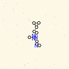 c1ccc(-c2nc(-c3ccc4c(cnc5ccccc54)c3)nc(-c3cccc4c(-c5ccc6c7ccccc7c7ccccc7c6c5)cccc34)n2)cc1